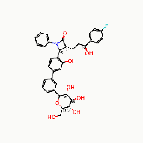 O=C1[C@H](CC[C@H](O)c2ccc(F)cc2)[C@@H](c2ccc(-c3cccc(C4O[C@H](CO)[C@@H](O)[C@H](O)[C@H]4O)c3)cc2O)N1c1ccccc1